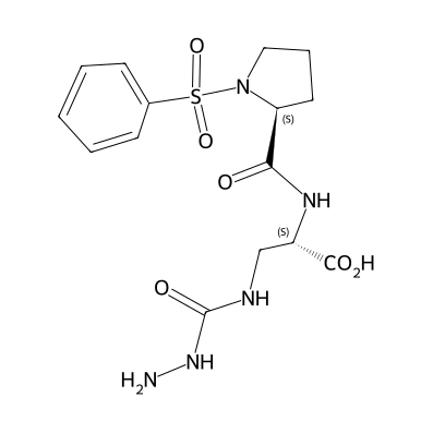 NNC(=O)NC[C@H](NC(=O)[C@@H]1CCCN1S(=O)(=O)c1ccccc1)C(=O)O